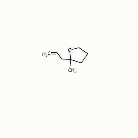 [CH2]C1(CC=C)CCCO1